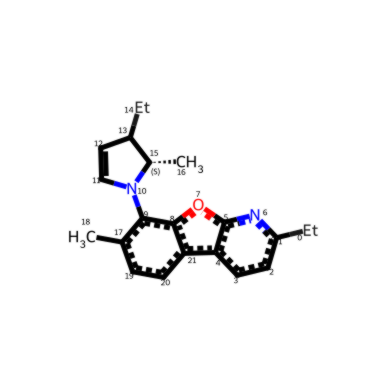 CCc1ccc2c(n1)oc1c(N3C=CC(CC)[C@@H]3C)c(C)ccc12